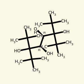 CC(C)(C)C(O)([C@H](O)[C@@H](O)C(O)(C(C)(C)C)C(C)(C)C)C(C)(C)C